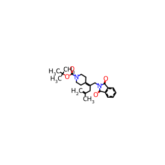 C=C(C)CC(CN1C(=O)c2ccccc2C1=O)=C1CCN(C(=O)OC(C)(C)C)CC1